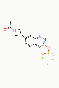 CC(=O)N1CC(c2ccc3cc(OS(=O)(=O)C(F)(F)F)nnc3c2)C1